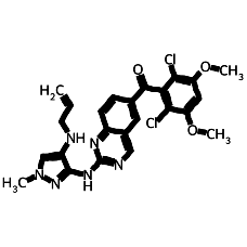 C=CCNc1cn(C)nc1Nc1ncc2cc(C(=O)c3c(Cl)c(OC)cc(OC)c3Cl)ccc2n1